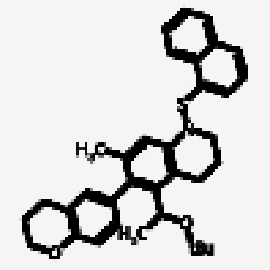 Cc1cc2c(c(C(C)OC(C)(C)C)c1-c1ccc3c(c1)CCCO3)CCCN2Sc1cccc2ccccc12